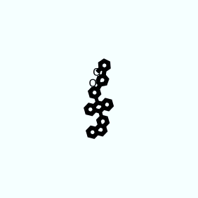 c1ccc2c(c1)ccc1ccc(-c3c4ccccc4c(-c4ccc5oc6c(ccc7c8ccccc8oc76)c5c4)c4ccccc34)cc12